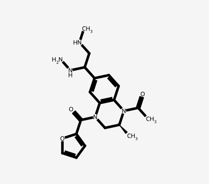 CNCC(NN)c1ccc2c(c1)N(C(=O)c1ccco1)C[C@H](C)N2C(C)=O